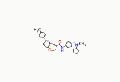 Cc1ccc(-c2ccc3c(c2)C=C(C(=O)Nc2ccc(CN(C)C4CCCC4)cc2)CCO3)cc1